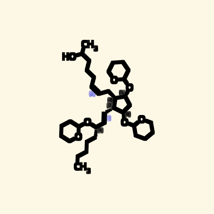 CCCCC[C@@H](/C=C/[C@@H]1[C@@H](C/C=C\CCCC(C)O)[C@@H](OC2CCCCO2)C[C@H]1OC1CCCCO1)OC1CCCCO1